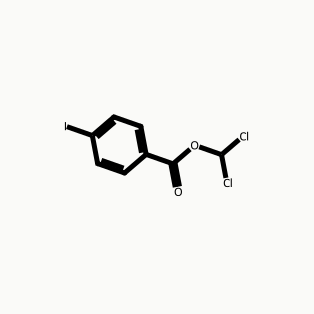 O=C(OC(Cl)Cl)c1ccc(I)cc1